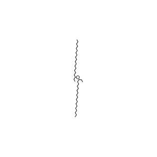 CCCCCCCCCCCCCCCCCC(CC)OC(CC)CCCCCCCCCCCCCCCCC